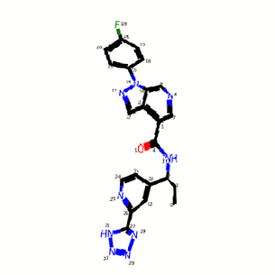 CC[C@H](NC(=O)c1cncc2c1cnn2-c1ccc(F)cc1)c1ccnc(-c2nnn[nH]2)c1